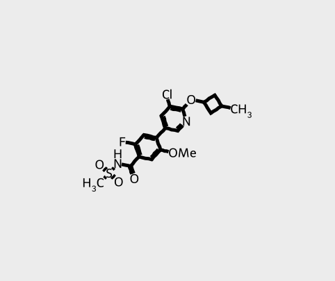 COc1cc(C(=O)NS(C)(=O)=O)c(F)cc1-c1cnc(OC2CC(C)C2)c(Cl)c1